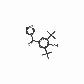 CC(C)(C)c1cc(C(=O)c2ccoc2)cc(C(C)(C)C)c1O